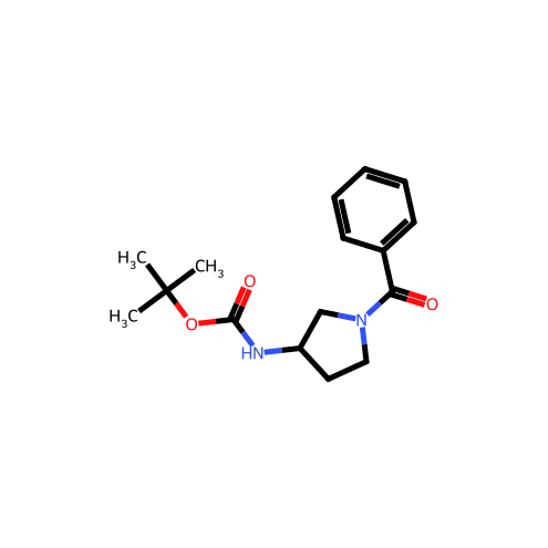 CC(C)(C)OC(=O)NC1CCN(C(=O)c2ccccc2)C1